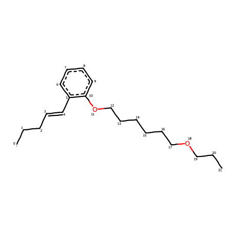 [CH2]CC/C=C/c1ccccc1OCCCCCCOCCC